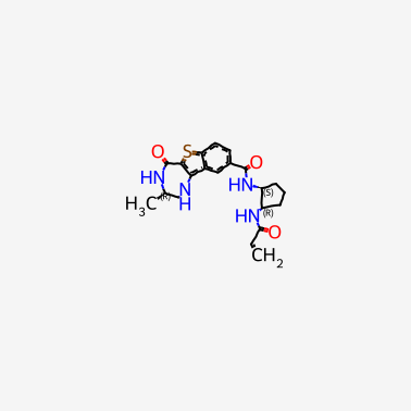 C=CC(=O)N[C@@H]1CCC[C@@H]1NC(=O)c1ccc2sc3c(c2c1)NC[C@@H](C)NC3=O